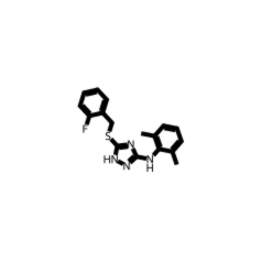 Cc1cccc(C)c1Nc1n[nH]c(SCc2ccccc2F)n1